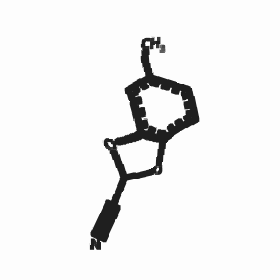 Cc1ccc2c(c1)OC(C#N)O2